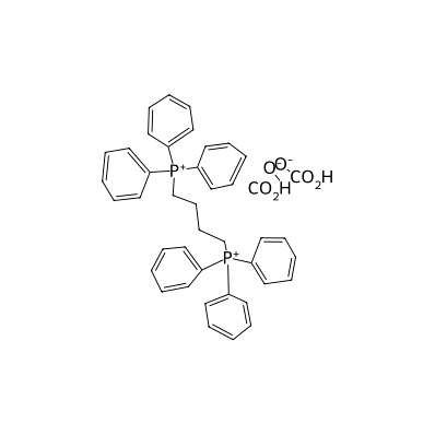 O=C([O-])O.O=C([O-])O.c1ccc([P+](CCCC[P+](c2ccccc2)(c2ccccc2)c2ccccc2)(c2ccccc2)c2ccccc2)cc1